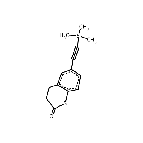 C[Si](C)(C)C#Cc1ccc2c(c1)CCC(=O)S2